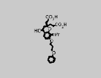 CCCc1c(OCCCOc2ccccc2)ccc2c1OC(CCC(=O)O)(CCC(=O)O)CC2O